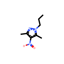 CCCn1nc(C)c([N+](=O)[O-])c1C